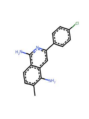 Cc1ccc2c(N)nc(-c3ccc(Cl)cc3)cc2c1N